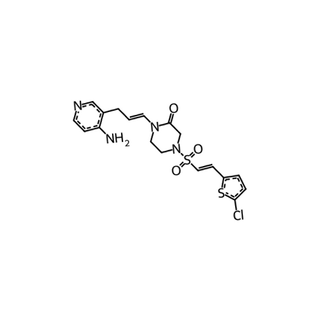 Nc1ccncc1CC=CN1CCN(S(=O)(=O)C=Cc2ccc(Cl)s2)CC1=O